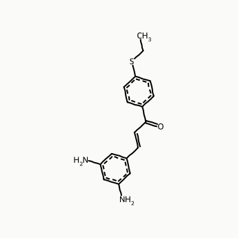 CCSc1ccc(C(=O)C=Cc2cc(N)cc(N)c2)cc1